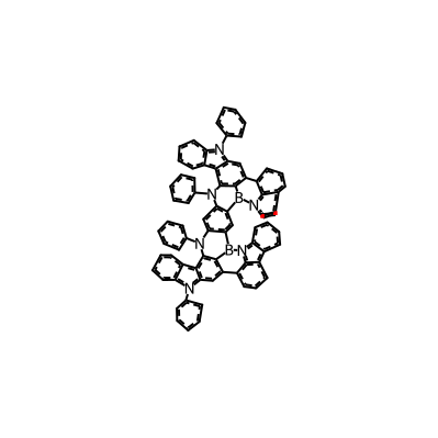 c1ccc(N2c3cc4c(cc3B3c5c(cc6c(c52)c2ccccc2n6-c2ccccc2)-c2cccc5c6ccccc6n3c25)B2c3c(cc5c(c3N4c3ccccc3)c3ccccc3n5-c3ccccc3)-c3cccc4c5ccccc5n2c34)cc1